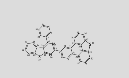 c1ccc(-c2nc(-c3ccc4c(c3)c3cccc5sc6cccc4c6c53)nc3sc4ccccc4c23)cc1